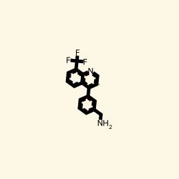 NCc1cccc(-c2[c]cnc3c(C(F)(F)F)cccc23)c1